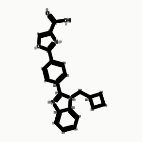 O=C(O)c1coc(-c2ccc(-c3nc4ccccc4n3CC3CCC3)cc2)n1